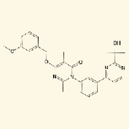 COc1cccc(COc2nc(C)n(-c3cccc(-c4ccnc(C(C)(C)O)n4)c3)c(=O)c2C)c1